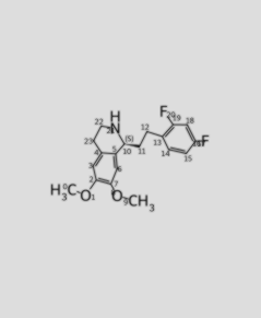 COc1cc2c(cc1OC)[C@H](CCc1ccc(F)cc1F)NCC2